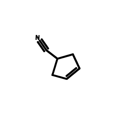 N#CC1CC=CC1